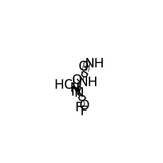 Cl.O=C(Nc1ccc([C@H]2CNCCO2)cc1)c1cn(-c2ccc(OC(F)F)cc2)nn1